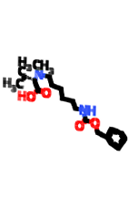 CC(C)[C@@H](C(=O)O)N(C)CCCCCCNC(=O)OCc1ccccc1